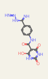 N=NNC(=N)c1ccc(NC(=O)c2c(O)[nH]c(=O)[nH]c2=O)cc1